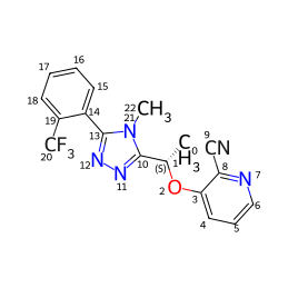 C[C@H](Oc1cccnc1C#N)c1nnc(-c2ccccc2C(F)(F)F)n1C